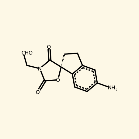 Nc1ccc2c(c1)CC[C@@]21OC(=O)N(CC=O)C1=O